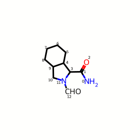 NC(=O)C1C2CCCCC2CN1C=O